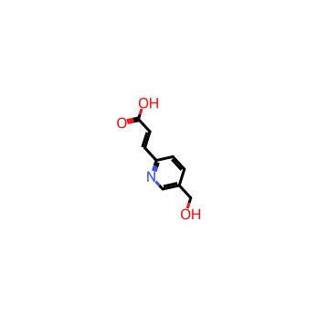 O=C(O)/C=C/c1ccc(CO)cn1